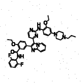 CCCN1CCN(c2ccc(Nc3nccc(-c4c(-c5ccc(OCC)c(C(=O)Nc6c(F)cccc6F)c5)nc5ccccn45)n3)c(OCC)c2)CC1